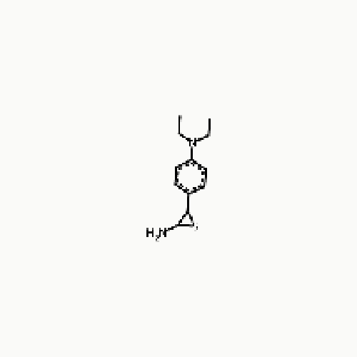 CCN(CC)c1ccc(C2SC2N)cc1